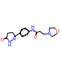 O=C1CCC(c2ccc(NC(=O)CCN3CCOCC3)cc2)=NN1